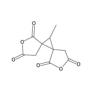 CC1C2(CC(=O)OC2=O)C12CC(=O)OC2=O